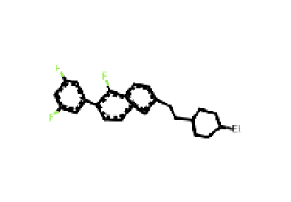 CCC1CCC(CCc2ccc3c(F)c(-c4cc(F)cc(F)c4)ccc3c2)CC1